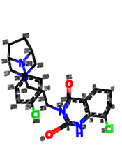 O=c1[nH]c2c(Cl)cccc2c(=O)n1CCCN1CC2CCC(C1)N2c1ccc(Cl)cc1